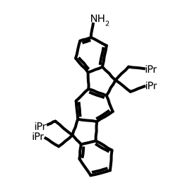 CC(C)CC1(CC(C)C)c2ccccc2-c2cc3c(cc21)-c1ccc(N)cc1C3(CC(C)C)CC(C)C